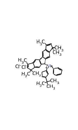 CC1=CC(C)(C)c2cc3c(cc21)-c1cc2c(cc1[CH]3/[Zr+2](=[CH]/c1ccccc1)[C]1=CC(C(C)(C)C)=CC1)C(C)(C)C=C2C.[Cl-].[Cl-]